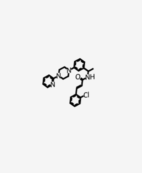 CC(NC(=O)C=Cc1ccccc1Cl)c1cccc(N2CCN(c3ccccn3)CC2)c1